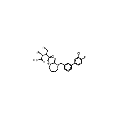 CCC[C@H](C(N)=O)C(CC(C)C)C(=O)N[C@H]1CCCCN(Cc2cncc(-c3ccc(F)c(Cl)c3)c2)C1=O